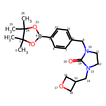 CC1(C)OB(c2ccc(CN3CCN(CC4COC4)C3=O)cc2)OC1(C)C